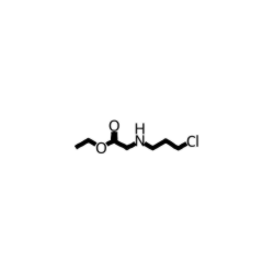 CCOC(=O)CNCCCCl